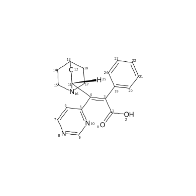 O=C(O)/C(=C(\c1ccncn1)[C@H]1CC2CCN1CC2)c1ccccc1